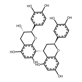 Oc1cc(O)c2c(c1)O[C@H](c1ccc(O)c(O)c1)C[C@H]2c1c(O)cc(O)c2c1O[C@H](c1ccc(O)c(O)c1)[C@@H](O)C2